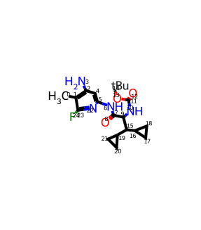 Cc1c(N)cc(NC(=O)C(NC(=O)OC(C)(C)C)C(C2CC2)C2CC2)nc1F